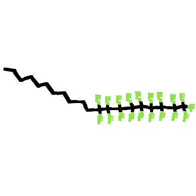 CCCCCCCCCCCC(F)(F)C(F)(F)C(F)(F)C(F)(F)C(F)(F)C(F)(F)C(F)(F)C(F)(F)C(F)(F)F